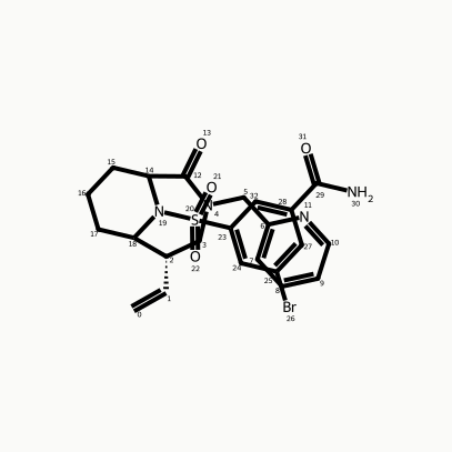 C=C[C@H]1CN(Cc2ccccn2)C(=O)C2CCCC1N2S(=O)(=O)c1cc(Br)cc(C(N)=O)c1